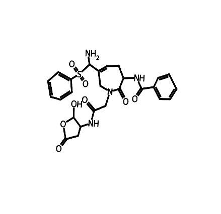 NC(C1=CCC(NC(=O)c2ccccc2)C(=O)N(CC(=O)NC2CC(=O)OC2O)C1)S(=O)(=O)c1ccccc1